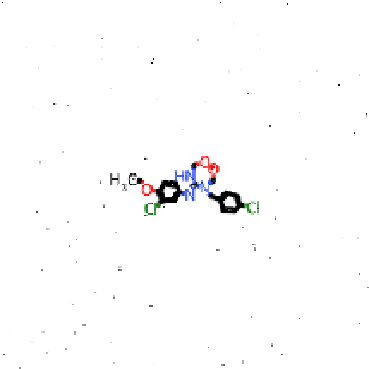 CCOc1ccc(/N=C2\NCOOCN2Cc2ccc(Cl)cc2)cc1Cl